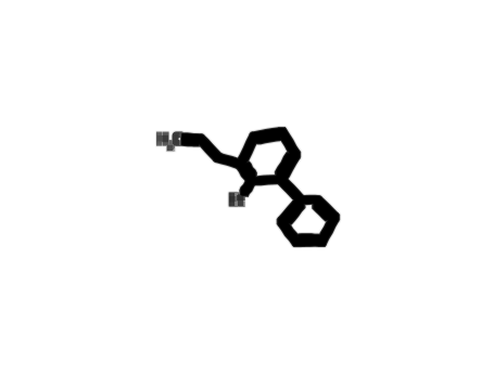 C=CCc1cccc(-c2ccccc2)c1CC